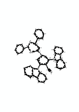 N#Cc1c(-n2c3ccccc3c3ccccc32)cc(-c2cc(-c3ccccc3)nc(-c3ccccc3)n2)cc1-n1c2ccccc2c2ccccc21